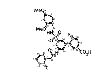 COc1ccc(CNS(=O)(=O)c2cc(NC(=O)Cc3ccccc3Cl)cc(-c3cc(C(=O)O)ccc3F)c2)c(OC)c1